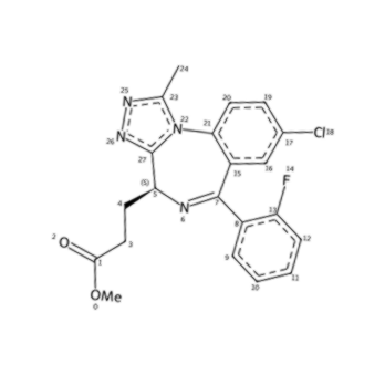 COC(=O)CC[C@@H]1N=C(c2ccccc2F)c2cc(Cl)ccc2-n2c(C)nnc21